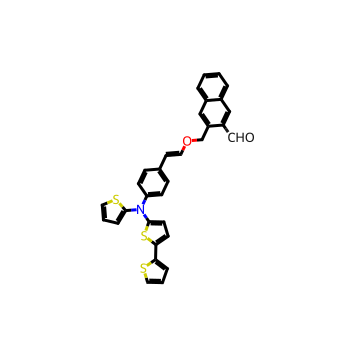 O=Cc1cc2ccccc2cc1COC=Cc1ccc(N(c2cccs2)c2ccc(-c3cccs3)s2)cc1